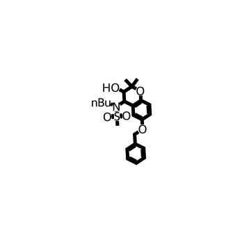 CCCCN(C1c2cc(OCc3ccccc3)ccc2OC(C)(C)C1O)S(C)(=O)=O